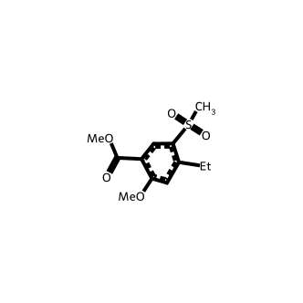 CCc1cc(OC)c(C(=O)OC)cc1S(C)(=O)=O